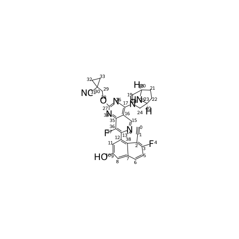 C#Cc1c(F)ccc2cc(O)cc(-c3ncc4c(N5C[C@H]6CC[C@@H](C5)N6)nc(OCC5(C#N)CC5)nc4c3F)c12